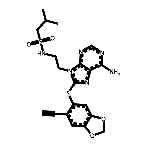 C#Cc1cc2c(cc1Sc1nc3c(N)ncnc3n1CCNS(=O)(=O)CC(C)C)OCO2